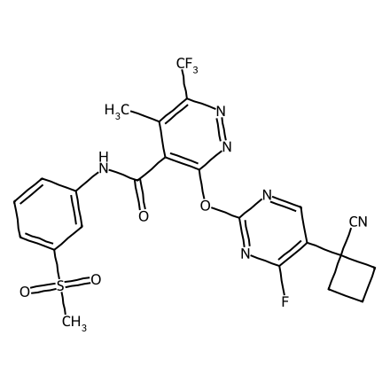 Cc1c(C(F)(F)F)nnc(Oc2ncc(C3(C#N)CCC3)c(F)n2)c1C(=O)Nc1cccc(S(C)(=O)=O)c1